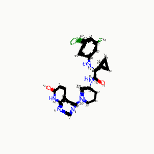 O=C1CCc2c(ncnc2N2CCC[C@@H](NC(=O)[C@H](Nc3cc(F)cc(Cl)c3)C3CC3)C2)N1